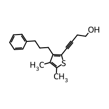 Cc1sc(C#CCCO)c(CCCc2ccccc2)c1C